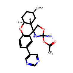 CO[C@@H]1CC[C@@H]2Oc3ccc(-c4cncnc4)cc3C3(COC(N)(OC(=O)C(F)(F)F)N3)[C@H]2C1